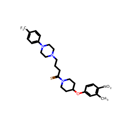 Cc1cc(OC2CCN(C(=S)CCCN3CCN(c4ccc(C(F)(F)F)cc4)CC3)CC2)ccc1[N+](=O)[O-]